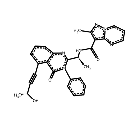 Cc1nn2cccnc2c1C(=O)N[C@@H](C)c1nc2cccc(C#C[C@@H](C)O)c2c(=O)n1-c1ccccc1